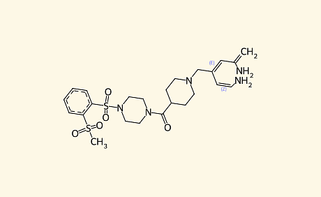 C=C(N)/C=C(\C=C/N)CN1CCC(C(=O)N2CCN(S(=O)(=O)c3ccccc3S(C)(=O)=O)CC2)CC1